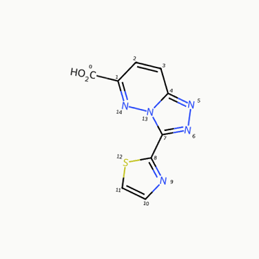 O=C(O)c1ccc2nnc(-c3nccs3)n2n1